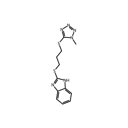 Cn1nnnc1SCCCSc1nc2ccccc2[nH]1